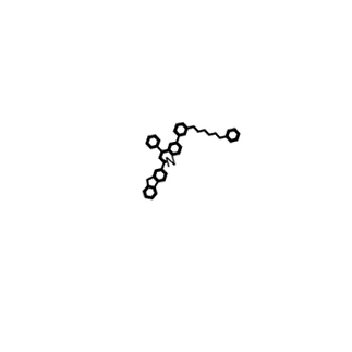 c1ccc(CCCCCCc2cccc(-c3ccc4nc(-c5ccc6c(c5)Cc5ccccc5-6)cc(-c5ccccc5)c4c3)c2)cc1